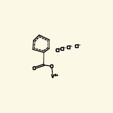 O=C([O][V+4])c1ccccc1.[Cl-].[Cl-].[Cl-].[Cl-]